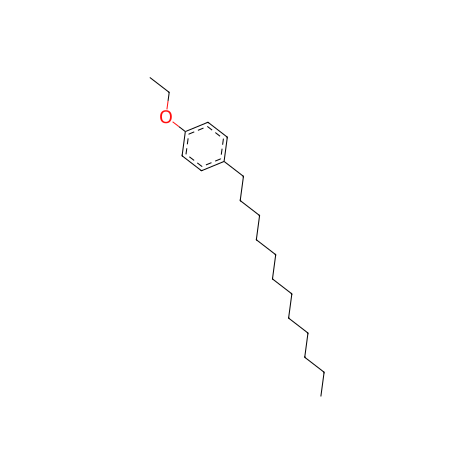 CCCCCCCCCCCCc1ccc(OCC)cc1